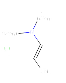 CC=CN(CCCCC)CCCCC.Cl